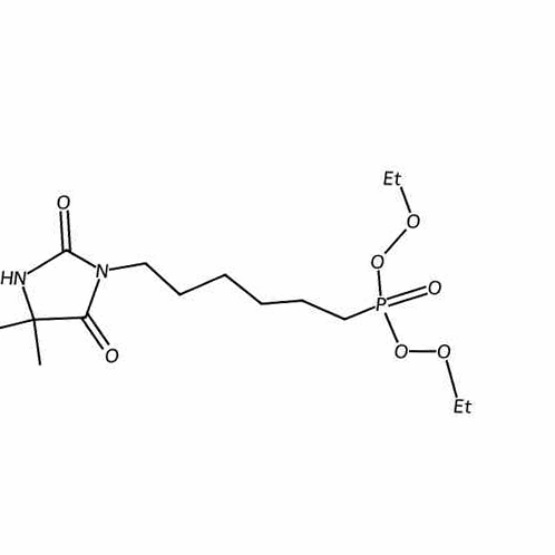 CCOOP(=O)(CCCCCCN1C(=O)NC(C)(C)C1=O)OOCC